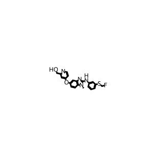 Cn1c(Nc2cccc(SCF)c2)nc2cc(Oc3ccnc(CO)c3)ccc21